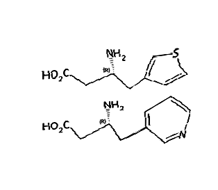 N[C@@H](CC(=O)O)Cc1cccnc1.N[C@@H](CC(=O)O)Cc1ccsc1